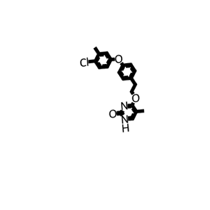 Cc1cc(Oc2ccc(CCOc3nc(=O)[nH]cc3C)cc2)ccc1Cl